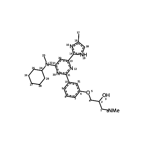 CNCC(O)COc1cccc(-c2nc(-c3nc(C)c[nH]3)cc(N(C)C3CCCCC3)n2)c1